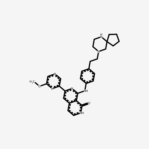 COc1cncc(-c2cc3cc[nH]c(=O)c3c(Nc3ccc(CCN4CCNC5(CCCC5)C4)cc3)n2)n1